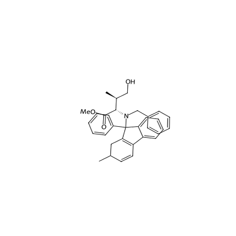 COC(=O)[C@H]([C@@H](C)CO)N(Cc1ccccc1)C1(c2ccccc2)C2=C(C=CC(C)C2)c2ccccc21